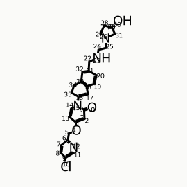 O=c1cc(OCc2ccc(Cl)cn2)ccn1C1=Cc2ccc(CNCCN3CC[C@@H](O)C3)cc2CC1